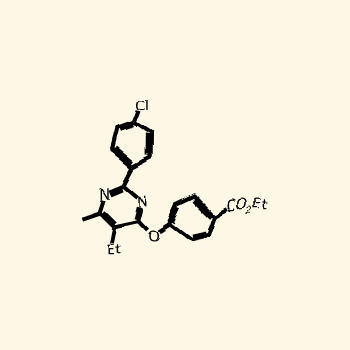 CCOC(=O)c1ccc(Oc2nc(-c3ccc(Cl)cc3)nc(C)c2CC)cc1